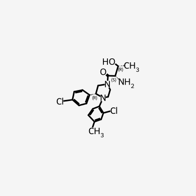 Cc1ccc(N2CCN(C(=O)[C@@H](N)[C@@H](C)O)C[C@H]2c2ccc(Cl)cc2)c(Cl)c1